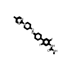 CNC(=O)Nc1cc(F)c(C2CCC(=NOC3CCN(c4ncc(C)cn4)CC3)CC2)cc1F